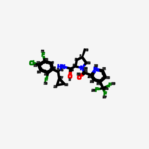 C[C@@H]1C[C@H](C(=O)N[C@@H](c2cc(F)c(Cl)cc2F)C2CC2)N(C(=O)c2cc(C(F)(F)F)ccn2)C1